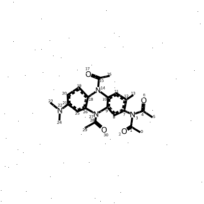 CC(=O)N(C(C)=O)c1cc2c(cc1C)N(C(C)=O)c1ccc(N(C)C)cc1N2C(C)=O